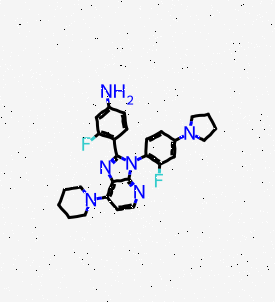 Nc1ccc(-c2nc3c(N4CCCCC4)ccnc3n2-c2ccc(N3CCCC3)cc2F)c(F)c1